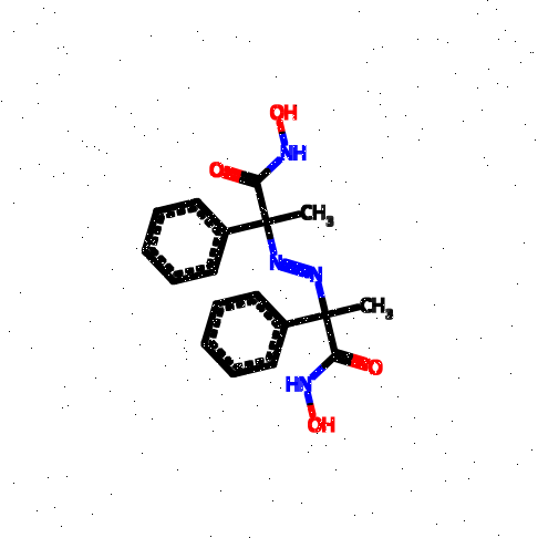 CC(N=NC(C)(C(=O)NO)c1ccccc1)(C(=O)NO)c1ccccc1